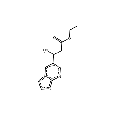 CCOC(=O)CC(N)c1cnc2occc2c1